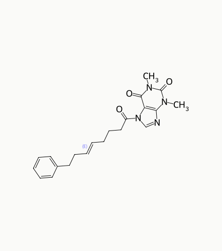 Cn1c(=O)c2c(ncn2C(=O)CCC/C=C/CCc2ccccc2)n(C)c1=O